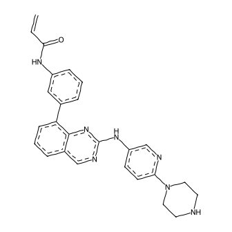 C=CC(=O)Nc1cccc(-c2cccc3cnc(Nc4ccc(N5CCNCC5)nc4)nc23)c1